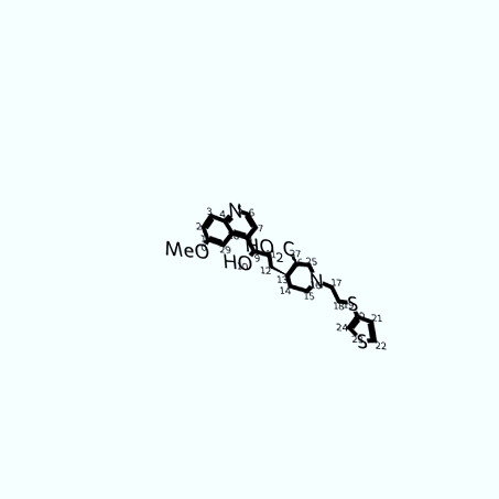 COc1ccc2nccc(C(O)CC[C@@H]3CCN(CCSc4ccsc4)C[C@@H]3C(=O)O)c2c1